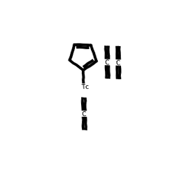 C=C=C.C=C=C.C=C=C.[Tc][C]1=CC=CC1